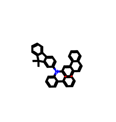 CC1(C)c2ccccc2-c2ccc(N(c3ccc4ccc5ccccc5c4c3)c3ccccc3-c3ccccc3)cc21